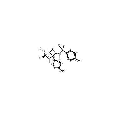 CC(C)c1ccc(C2(NC3CCC3(NC(=O)OC(C)(C)C)c3ccc(C(C)C)cc3)CC2)cc1